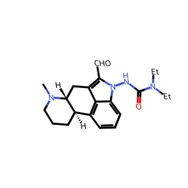 CCN(CC)C(=O)Nn1c(C=O)c2c3c(cccc31)[C@H]1CCCN(C)[C@@H]1C2